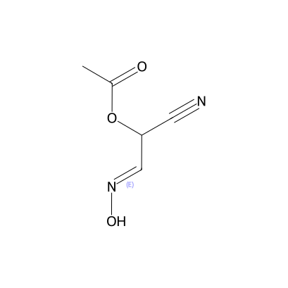 CC(=O)OC(C#N)/C=N/O